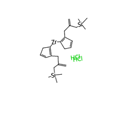 C=C(CC1=[C]([Zr][C]2=C(CC(=C)C[Si](C)(C)C)C=CC2)CC=C1)C[Si](C)(C)C.Cl.Cl